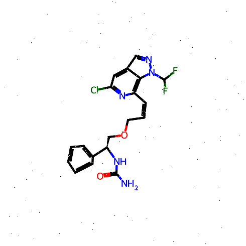 NC(=O)N[C@H](COC/C=C\c1nc(Cl)cc2cnn(C(F)F)c12)c1ccccc1